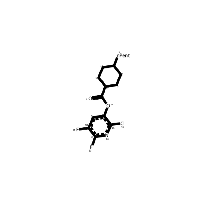 CCCCCC1CCC(C(=O)Oc2cc(F)c(F)nc2Cl)CC1